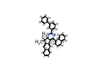 CC1(C)c2cc3ccccc3cc2-c2c(-c3cccc4ccccc34)nc(-c3cccc(-c4ccccc4)c3)nc21